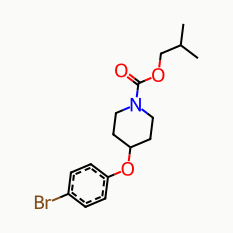 CC(C)COC(=O)N1CCC(Oc2ccc(Br)cc2)CC1